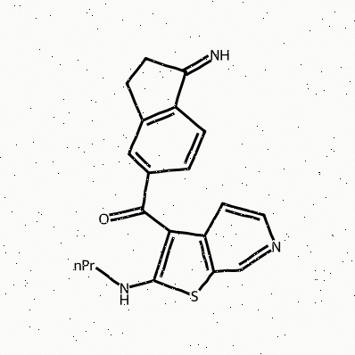 CCCNc1sc2cnccc2c1C(=O)c1ccc2c(c1)CCC2=N